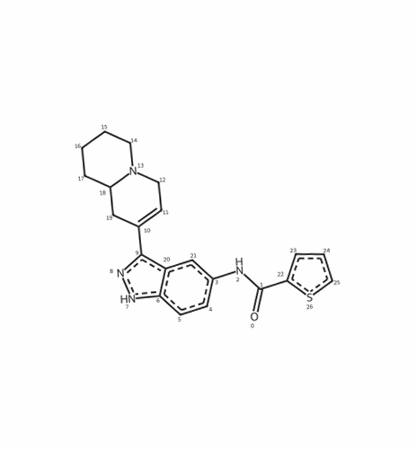 O=C(Nc1ccc2[nH]nc(C3=CCN4CCCCC4C3)c2c1)c1cccs1